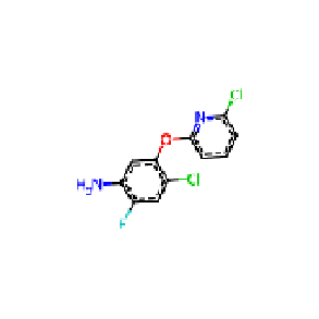 Nc1cc(Oc2cccc(Cl)n2)c(Cl)cc1F